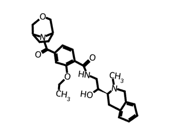 CCOc1cc(C(=O)N2C3CCC2COC3)ccc1C(=O)NCC(O)[C@@H]1Cc2ccccc2CN1C